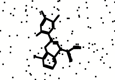 COC(=O)N(O)c1cccc(F)c1COc1cc(C)c(C)cc1C